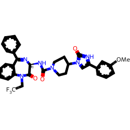 COc1cccc(-c2cn(C3CCN(C(=O)N[C@@H]4N=C(c5ccccc5)c5ccccc5N(CC(F)(F)F)C4=O)CC3)c(=O)[nH]2)c1